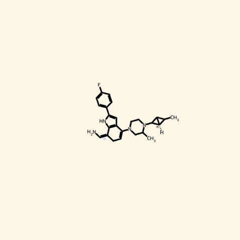 CC1C2C(N3CCN(C4=CC/C(=C/N)c5[nH]c(-c6ccc(F)cc6)cc54)CC3C)[C@H]12